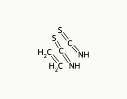 C=C.N=C=S.N=C=S